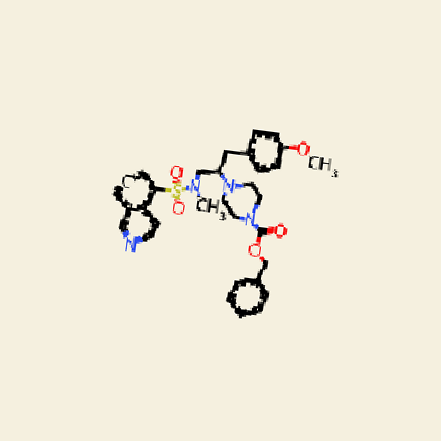 COc1ccc(CC(CN(C)S(=O)(=O)c2cccc3cnccc23)N2CCN(C(=O)OCc3ccccc3)CC2)cc1